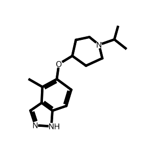 Cc1c(OC2CCN(C(C)C)CC2)ccc2[nH]ncc12